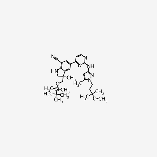 COC(C)(C)CCn1nc(Nc2nccc(-c3cc(C#N)c4c(c3)[C@@](C)(CO[Si](C)(C)C(C)(C)C)CN4)n2)cc1C